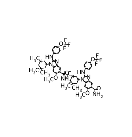 COc1cc2c(cc1C(N)=O)nc(Nc1ccc(OC(F)(F)F)cc1)n2[C@H]1C[C@@H](C)CC(C)(C)C1.COc1cc2c(cc1C(N)=O)nc(Nc1ccc(OC(F)(F)F)cc1)n2[C@H]1C[C@@H](C)CC(C)(C)C1